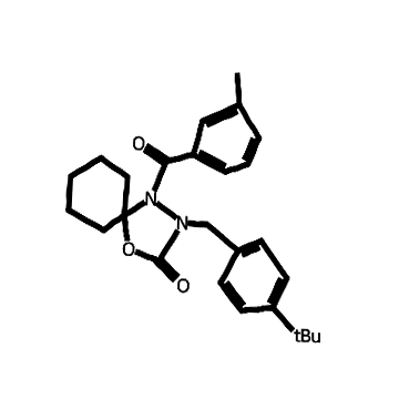 Cc1cccc(C(=O)N2N(Cc3ccc(C(C)(C)C)cc3)C(=O)OC23CCCCC3)c1